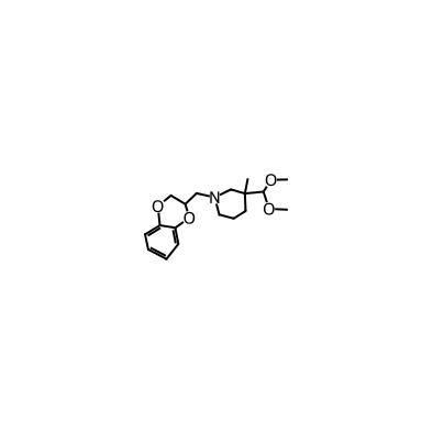 COC(OC)C1(C)CCCN(CC2COc3ccccc3O2)C1